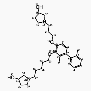 Cc1ccccc1-c1ccc(OCCCN2CCC(O)C2)c(OCCCCCN2CCC(O)C2)c1C